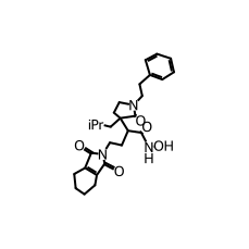 CC(C)CC1(C(CCN2C(=O)C3=C(CCCC3)C2=O)C(=O)NO)CCN(CCc2ccccc2)C1=O